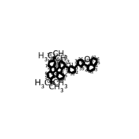 CC(C)(C)c1ccc2c(c1)C1(c3cc(C(C)(C)C)ccc3-2)c2ccccc2-c2c(-c3cccc(-c4ccc5c(c4)-c4cccc6cccc(c46)O5)c3)cccc21